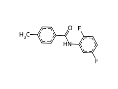 Cc1ccc(C(=O)Nc2cc(F)ccc2F)cc1